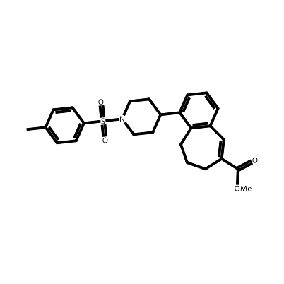 COC(=O)C1=Cc2cccc(C3CCN(S(=O)(=O)c4ccc(C)cc4)CC3)c2CCC1